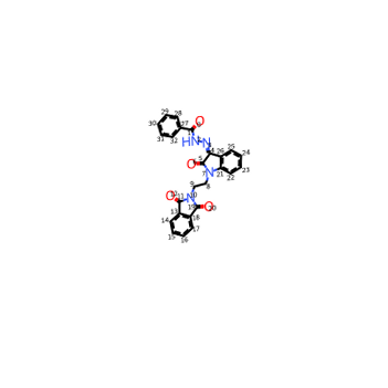 O=C(NN=C1C(=O)N(CCN2C(=O)c3ccccc3C2=O)c2ccccc21)c1ccccc1